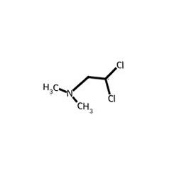 CN(C)C[C](Cl)Cl